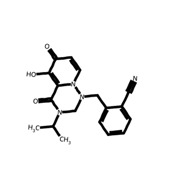 CC(C)N1CN(Cc2ccccc2C#N)n2ccc(=O)c(O)c2C1=O